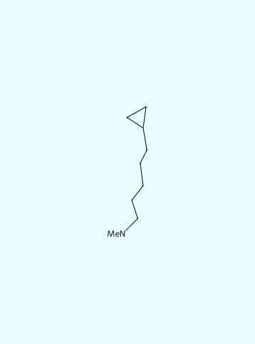 CNCCCCCC1CC1